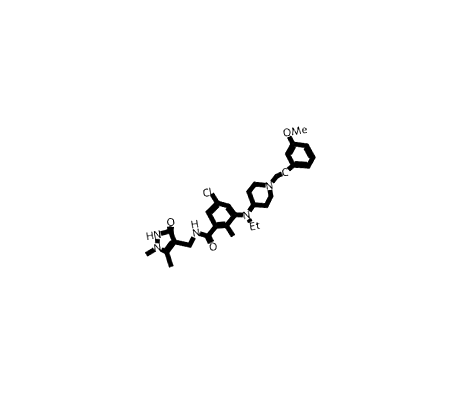 CCN(c1cc(Cl)cc(C(=O)NCc2c(C)n(C)[nH]c2=O)c1C)C1CCN(CCc2cccc(OC)c2)CC1